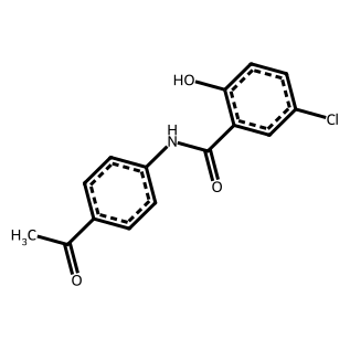 CC(=O)c1ccc(NC(=O)c2cc(Cl)ccc2O)cc1